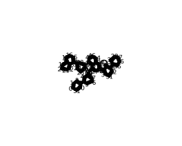 c1ccc(-c2cccc(N(c3ccc(-c4cccc5ccccc45)cc3)c3cc4c5cccc(-c6ccccc6)c5oc4c4ccccc34)c2)cc1